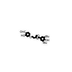 CC(C)(C)c1cc(-c2nc(CCOc3ccc(C=O)c(O)c3)co2)cc(C(C)(C)C)c1O